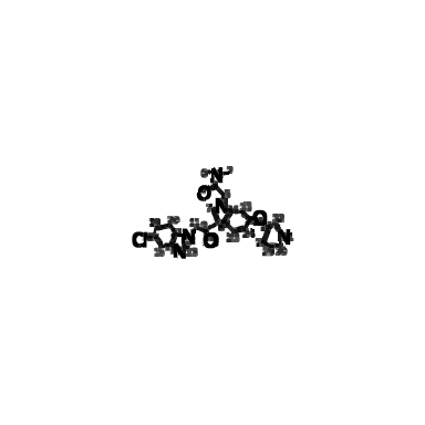 CN(C)C(=O)Cn1cc(C(=O)Cn2cnc3cc(Cl)ccc32)c2ccc(Oc3cccnc3)cc21